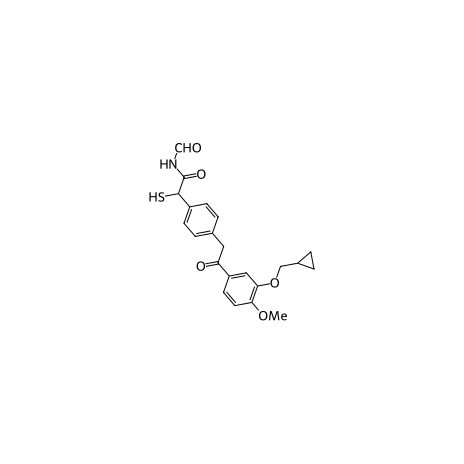 COc1ccc(C(=O)Cc2ccc(C(S)C(=O)NC=O)cc2)cc1OCC1CC1